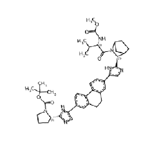 COC(=O)N[C@H](C(=O)N1C2CCC(C2)[C@H]1c1ncc(-c2ccc3c(c2)CCc2cc(-c4cnc([C@@H]5CCCN5C(=O)OC(C)(C)C)[nH]4)ccc2-3)[nH]1)C(C)C